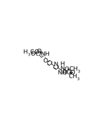 COC(=O)C[C@@H]1C[C@@H](COc2ccc(-c3ccc(C(=N)NC(=O)OC(C)OC(C)=O)cn3)cc2)NC1=O